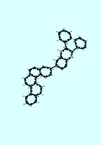 c1ccc(-c2nc3ccc(-c4ccc5c(ccc6ccc7c8ccccc8ccc7c65)c4)cc3nc2-c2ccccc2)cc1